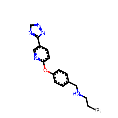 CC(C)CCNCc1ccc(Oc2ccc(C3=NCN=N3)cn2)cc1